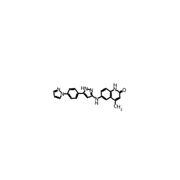 Cc1cc(=O)[nH]c2ccc(Nc3cc(-c4ccc(-n5cccn5)cc4)[nH]n3)cc12